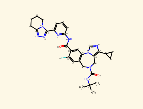 CC(C)(C)NC(=O)N1Cc2cc(F)c(C(=O)Nc3cccc(-c4nnc5n4CCCC5)n3)cc2-n2cnc(C3CC3)c2C1